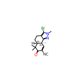 [C-]#[N+]C1=C[C@]2(C)c3nn(C)c(Br)c3CC[C@H]2C(C)(C)C1=O